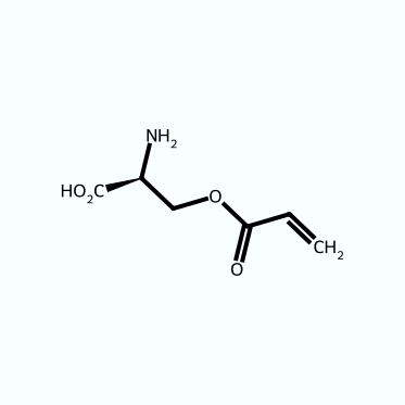 C=CC(=O)OC[C@H](N)C(=O)O